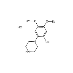 CCOc1cc(C#N)c(N2CCNCC2)cc1OC(C)C.Cl